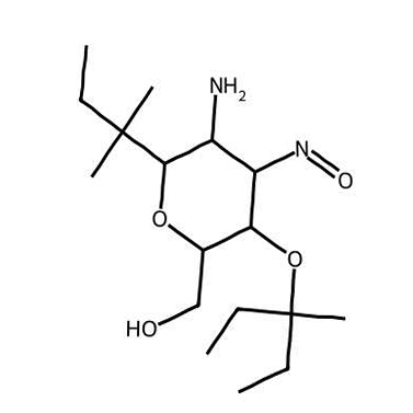 CCC(C)(CC)OC1C(CO)OC(C(C)(C)CC)C(N)C1N=O